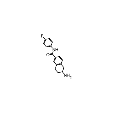 NC1CCc2cc(C(=O)Nc3ccc(F)cc3)ccc2C1